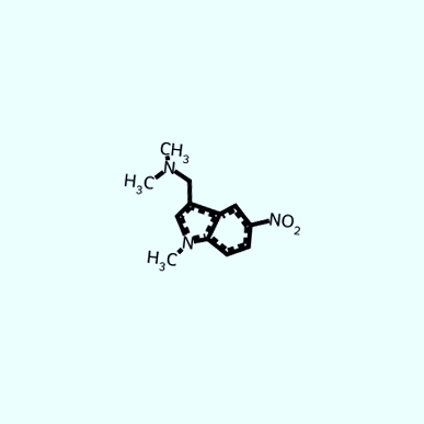 CN(C)Cc1cn(C)c2ccc([N+](=O)[O-])cc12